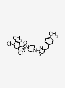 Cc1ccc(Cc2csc(N3CCN(S(=O)(=O)c4cc(C)c(Cl)cc4Cl)CC3)n2)cc1